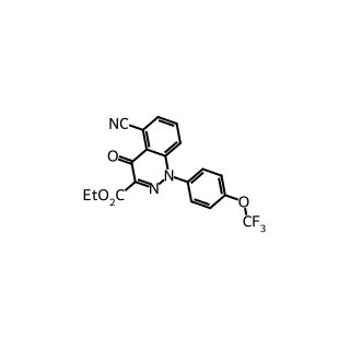 CCOC(=O)c1nn(-c2ccc(OC(F)(F)F)cc2)c2cccc(C#N)c2c1=O